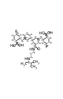 C=C(C)C(=C)NCCCNC(=O)c1cc(-c2ccc[n+](Cc3cc(F)ccc3B(O)O)c2)c[n+](Cc2cc(F)ccc2B(O)O)c1